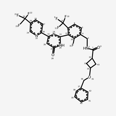 O=C(NCc1ccc(C(F)(F)F)c(-c2nc(-c3ccc(C(F)(F)F)cn3)cc(=O)[nH]2)c1F)C1CC(OCc2ccccc2)C1